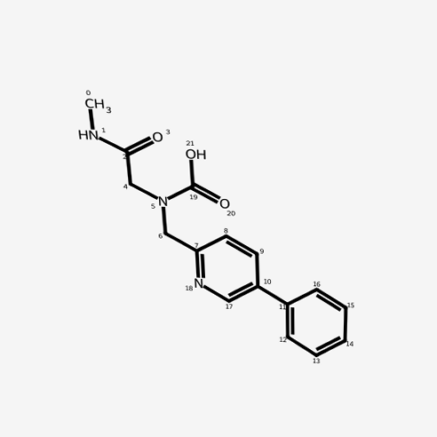 CNC(=O)CN(Cc1ccc(-c2ccccc2)cn1)C(=O)O